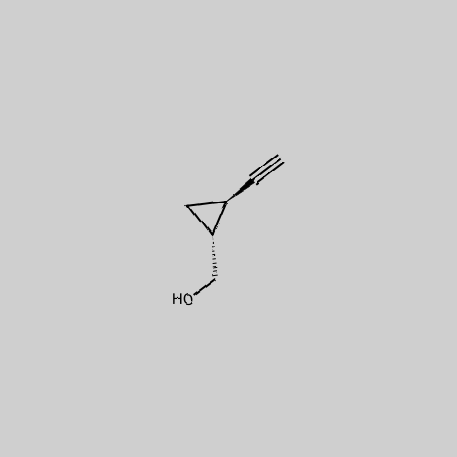 C#C[C@@H]1C[C@H]1CO